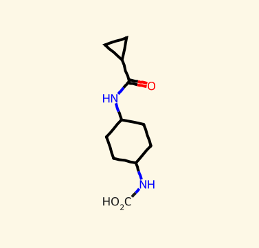 O=C(O)NC1CCC(NC(=O)C2CC2)CC1